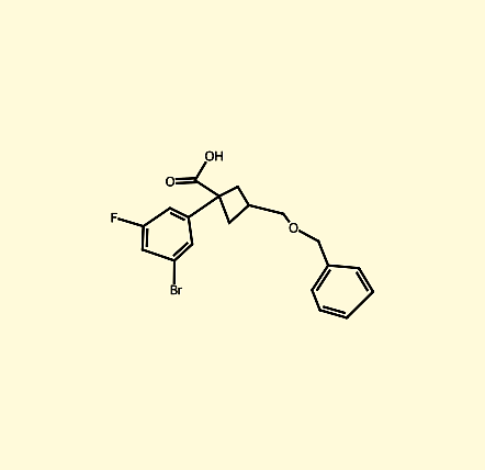 O=C(O)C1(c2cc(F)cc(Br)c2)CC(COCc2ccccc2)C1